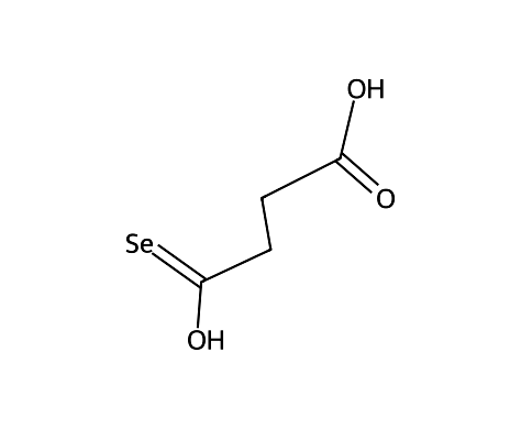 O=C(O)CCC(O)=[Se]